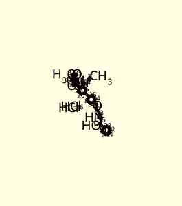 CCCNc1cc(-c2ccc(OCCNC[C@H](O)c3ccccc3)cc2)ccc1C(=O)NS(C)(=O)=O.Cl.Cl